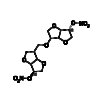 O=[N+]([O-])O[C@@H]1COC2C(COC3COC4C3OC[C@H]4O[N+](=O)[O-])COC21